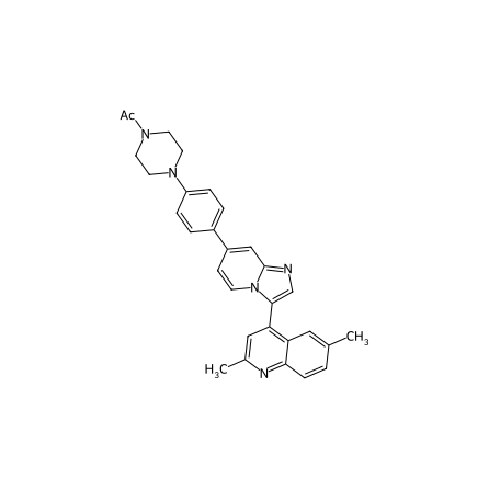 CC(=O)N1CCN(c2ccc(-c3ccn4c(-c5cc(C)nc6ccc(C)cc56)cnc4c3)cc2)CC1